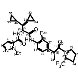 CCn1nccc1C(=O)N[C@H](C(=O)Nc1ccc([C@H](C)C(=O)N2CCC[C@@H]2C(F)(F)F)cc1F)C(=C1CC1)C1CC1